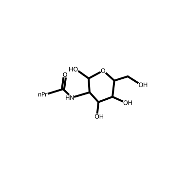 CCCC(=O)NC1C(O)OC(CO)C(O)C1O